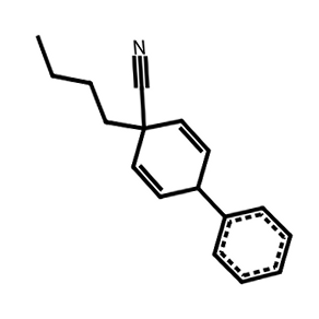 CCCCC1(C#N)C=CC(c2ccccc2)C=C1